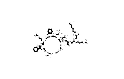 CCCCCCCCCCCCCCCC(=O)N[C@@H](CO)C(=O)N[C@@H](CCCCNC(=N)N)C(=O)N[C@@H](C(C)O)[C@H](O)N[C@@H](CCCC)C(=O)N[C@H]1CCC(=O)NCCCC[C@@H](C(N)=O)NC(=O)[C@H](Cc2c[nH]c3ccccc23)NC(=O)[C@H](CCCNC(=N)N)NC(=O)[C@@H](Cc2ccccc2)NC(=O)[C@H](CCS(C)(=O)=O)NC1=O